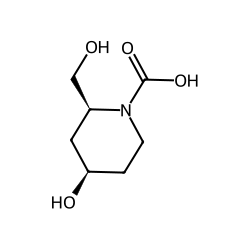 O=C(O)N1CC[C@@H](O)C[C@H]1CO